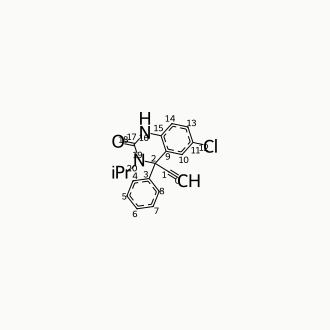 C#CC1(c2ccccc2)c2cc(Cl)ccc2NC(=O)N1C(C)C